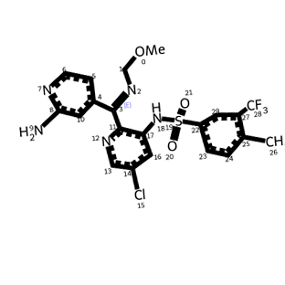 COC/N=C(\c1ccnc(N)c1)c1ncc(Cl)cc1NS(=O)(=O)c1ccc(C)c(C(F)(F)F)c1